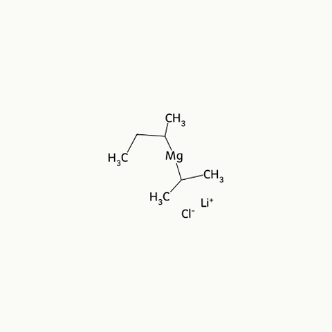 CC[CH](C)[Mg][CH](C)C.[Cl-].[Li+]